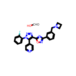 Fc1ccccc1-n1nnc(-c2nc(-c3cccc(CN4CCC4)c3)no2)c1-c1ccncc1.O=CO